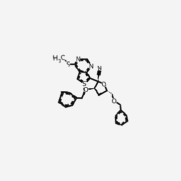 CSc1ncnc2c([C@]3(C#N)O[C@H](COCc4ccccc4)C[C@H]3OCc3ccccc3)scc12